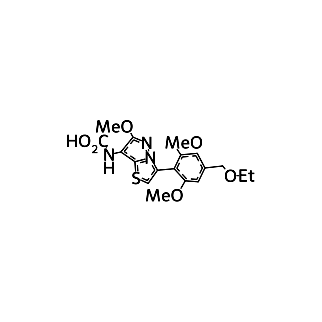 CCOCc1cc(OC)c(-c2csc3c(NC(=O)O)c(OC)nn23)c(OC)c1